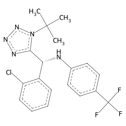 CC(C)(C)n1nnnc1[C@H](Nc1ccc(C(F)(F)F)cc1)c1ccccc1Cl